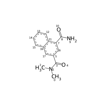 CN(C)C(=O)c1[c]c(C(N)=O)c2ccccc2c1